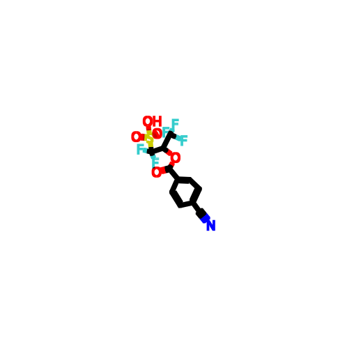 N#Cc1ccc(C(=O)OC(C(F)(F)F)C(F)(F)S(=O)(=O)O)cc1